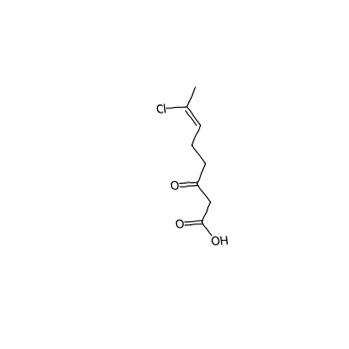 C/C(Cl)=C/CCC(=O)CC(=O)O